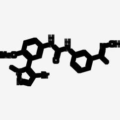 COc1ccc(NC(=O)Nc2cccc(C(C)=NO)c2)cc1-c1c(Br)cnn1C